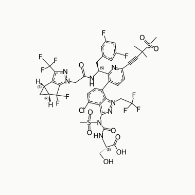 CC(C)(C#Cc1ccc(-c2ccc(Cl)c3c(N(C(=O)N[C@@H](CO)C(=O)O)S(C)(=O)=O)nn(CC(F)(F)F)c23)c([C@H](Cc2cc(F)cc(F)c2)NC(=O)Cn2nc(C(F)(F)F)c3c2C(F)(F)[C@@H]2C[C@H]32)n1)S(C)(=O)=O